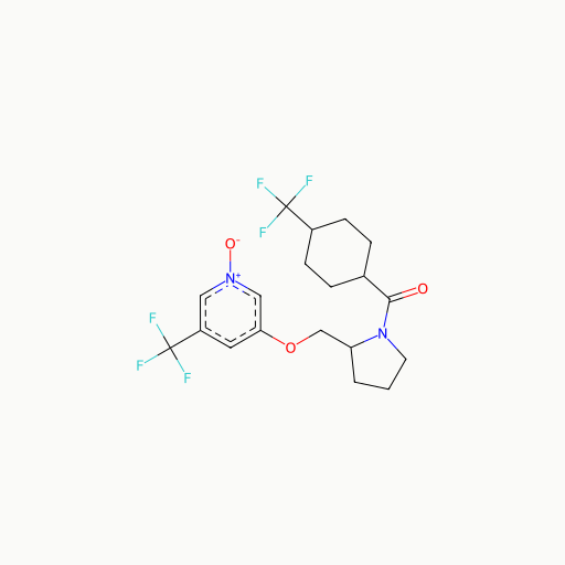 O=C(C1CCC(C(F)(F)F)CC1)N1CCCC1COc1cc(C(F)(F)F)c[n+]([O-])c1